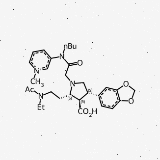 CCCCN(C(=O)CN1C[C@H](c2ccc3c(c2)OCO3)[C@@H](C(=O)O)[C@@H]1CCN(CC)C(C)=O)c1ccc[n+](C)c1